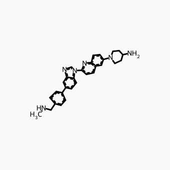 CNCc1ccc(-c2ccc3c(c2)ncn3-c2ccc3cc(N4CCC(N)CC4)ccc3n2)cc1